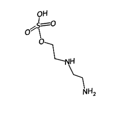 NCCNCCOS(=O)(=O)O